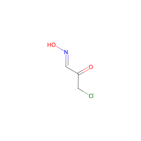 O=C(/C=N/O)CCl